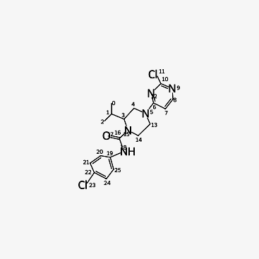 CC(C)C1CN(c2ccnc(Cl)n2)CCN1C(=O)Nc1ccc(Cl)cc1